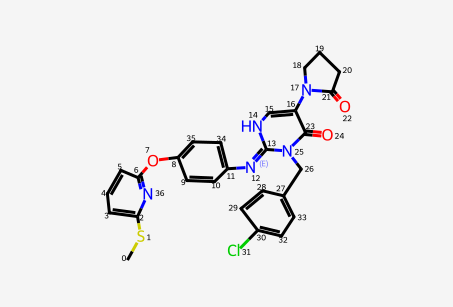 CSc1cccc(Oc2ccc(/N=c3\[nH]cc(N4CCCC4=O)c(=O)n3Cc3ccc(Cl)cc3)cc2)n1